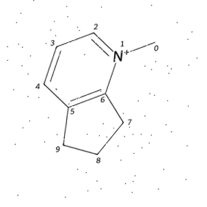 C[n+]1cccc2c1CCC2